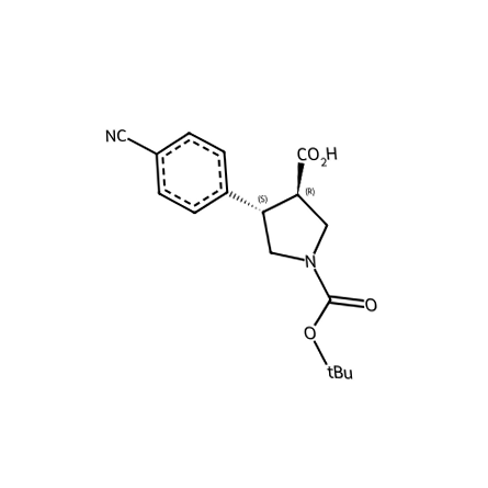 CC(C)(C)OC(=O)N1C[C@H](C(=O)O)[C@@H](c2ccc(C#N)cc2)C1